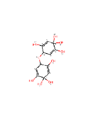 OC1=CC(O)(O)C(O)=CC1OC1C=C(O)C(O)(O)C=C1O